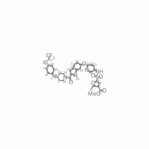 COC(=O)c1cc(S(=O)(=O)Nc2ccc(Oc3ccc4cc(C(=O)N5CCN(Cc6ccc(OCC(F)(F)F)cc6)CC5)n(C)c4c3)nc2)oc1C